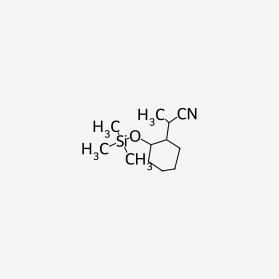 CC(C#N)C1CCCCC1O[Si](C)(C)C